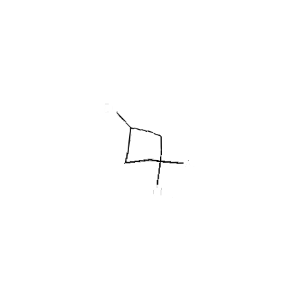 CCC1CC(C)(C(C)=O)C1